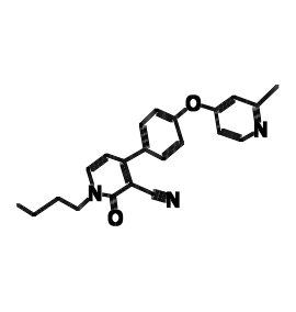 CCCCn1ccc(-c2ccc(Oc3ccnc(C)c3)cc2)c(C#N)c1=O